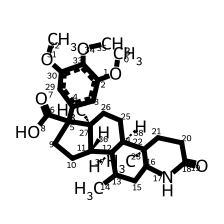 COc1cc(C2(C(=O)O)CC[C@H]3[C@@H]4C(C)CC5NC(=O)CC[C@]5(C)[C@@H]4CC[C@@]32C)cc(OC)c1OC